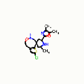 Cc1nc(C2CC3(CNOCCc4cc(Cl)sc43)CC(C)N2)oc1C